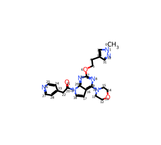 Cn1cc(CCOc2nc(N3CCOCC3)c3ccn(C(=O)Cc4ccncc4)c3n2)cn1